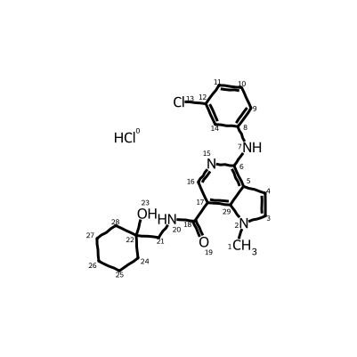 Cl.Cn1ccc2c(Nc3cccc(Cl)c3)ncc(C(=O)NCC3(O)CCCCC3)c21